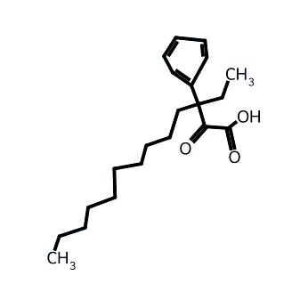 CCCCCCCCCCC(CC)(C(=O)C(=O)O)c1ccccc1